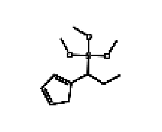 CCC(C1=CC=CC1)[Si](OC)(OC)OC